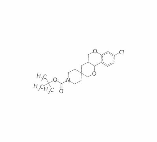 CC(C)(C)OC(=O)N1CCC2(CC1)COC1c3ccc(Cl)cc3OCC1C2